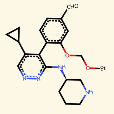 CCOCOc1cc(C=O)ccc1-c1c(C2CC2)cnnc1N[C@@H]1CCCNC1